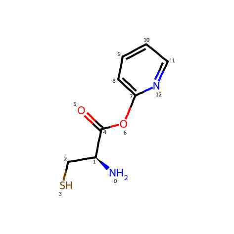 N[C@@H](CS)C(=O)Oc1ccccn1